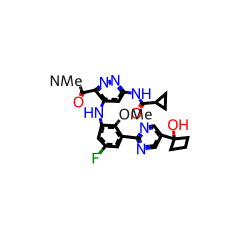 CNC(=O)c1nnc(NC(=O)C2CC2)cc1Nc1cc(F)cc(-c2ncc(C3(O)CCC3)cn2)c1OC